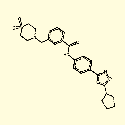 O=C(Nc1ccc(-c2noc(C3CCCC3)n2)cc1)c1cccc(CN2CCS(=O)(=O)CC2)c1